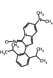 CC(C)c1cccc(C(C)C)c1-n1cc2cc(N(C)C)ccn2[c]1=[Au][Cl]